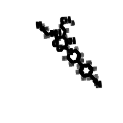 CCCC(NC(=O)N1CC=C(c2ccc(C#N)cc2)CC1)C(=O)NCC#N